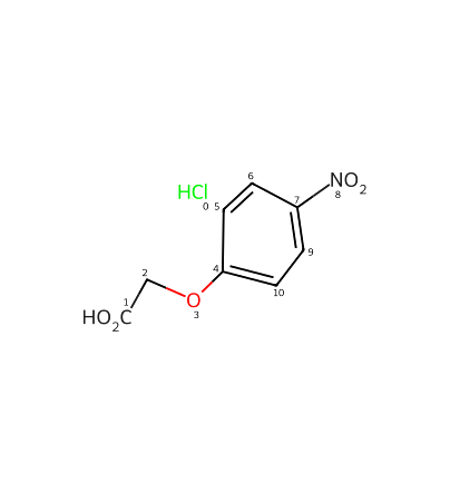 Cl.O=C(O)COc1ccc([N+](=O)[O-])cc1